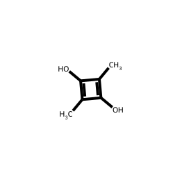 CC1=C(O)C(C)=C1O